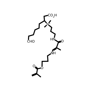 C=C(C)C(=O)OCCCNC=C(C)C(=O)NCCC[N+](C)(C)C(CCCCCC=O)CC(=O)O